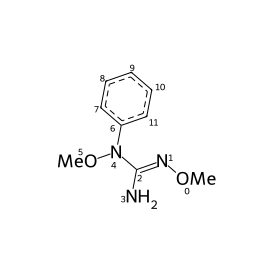 CON=C(N)N(OC)c1ccccc1